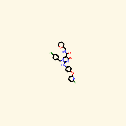 O=C(NCC1CCCCO1)c1cn(Cc2ccc(Cl)cc2)c(Nc2ccc(Oc3cccc(F)n3)cc2)nc1=O